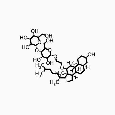 CC(C)CCC[C@@H](C)[C@H]1CC[C@H]2[C@@H]3CC[C@@H]4C[C@H](O)CC[C@]4(C)[C@H]3C[C@H](OCCO[C@@H]3OC(CO)[C@@H](O[C@H]4OC(CO)[C@@H](O)[C@H](O)C4O)[C@H](O)C3O)[C@]12C